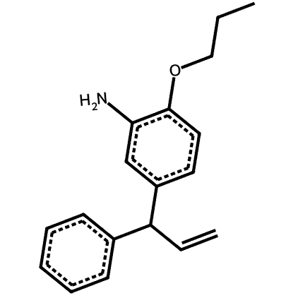 C=CC(c1ccccc1)c1ccc(OCCC)c(N)c1